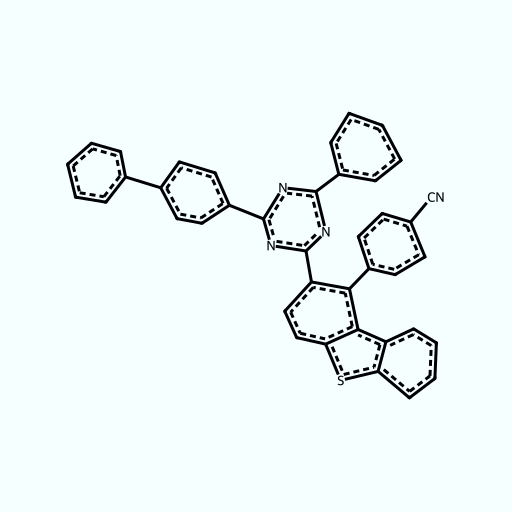 N#Cc1ccc(-c2c(-c3nc(-c4ccccc4)nc(-c4ccc(-c5ccccc5)cc4)n3)ccc3sc4ccccc4c23)cc1